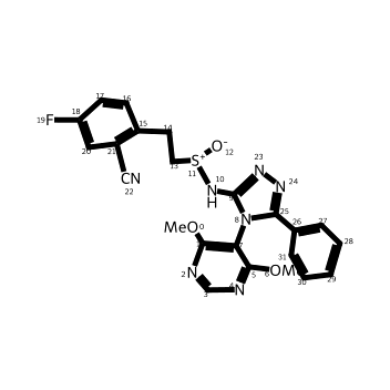 COc1ncnc(OC)c1-n1c(N[S+]([O-])CCc2ccc(F)cc2C#N)nnc1-c1ccccc1